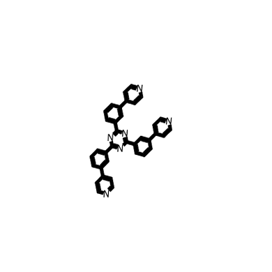 c1cc(-c2ccncc2)cc(-c2nc(-c3cccc(-c4ccncc4)c3)nc(-c3cccc(-c4ccncc4)c3)n2)c1